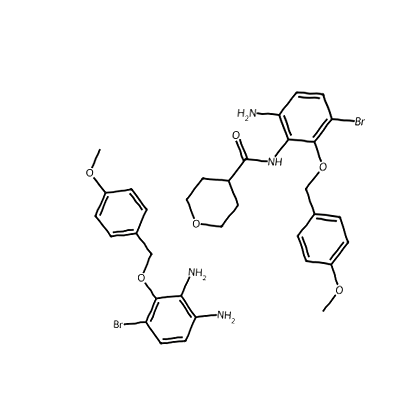 COc1ccc(COc2c(Br)ccc(N)c2N)cc1.COc1ccc(COc2c(Br)ccc(N)c2NC(=O)C2CCOCC2)cc1